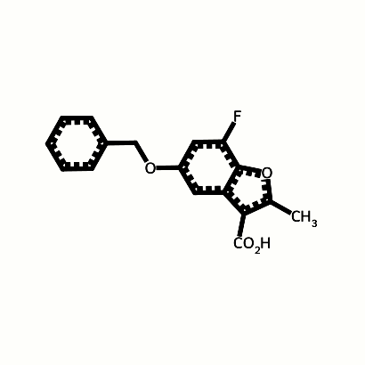 Cc1oc2c(F)cc(OCc3ccccc3)cc2c1C(=O)O